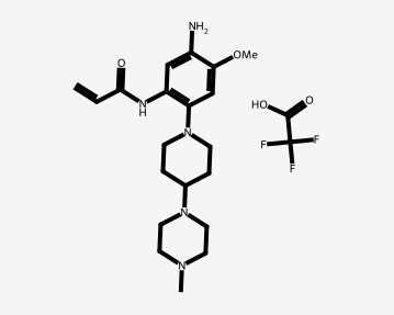 C=CC(=O)Nc1cc(N)c(OC)cc1N1CCC(N2CCN(C)CC2)CC1.O=C(O)C(F)(F)F